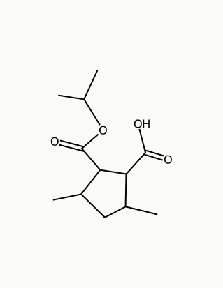 CC(C)OC(=O)C1C(C)CC(C)C1C(=O)O